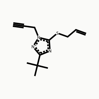 C#CCn1nc(C(C)(C)C)nc1SCC=C